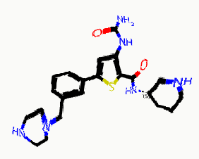 NC(=O)Nc1cc(-c2cccc(CN3CCNCC3)c2)sc1C(=O)N[C@H]1CCCNC1